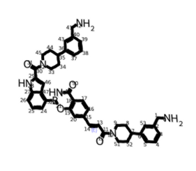 NCc1cccc(C2CCN(C(=O)/C=C/c3ccc4c(c3)OB(c3cccc5[nH]c(C(=O)N6CCC(c7cccc(CN)c7)CC6)cc35)NC4=O)CC2)c1